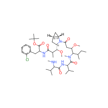 CCC(C)C(C(CC(=O)N1[C@H](C(OC)C(C)C(=O)NC(Cc2ccccc2Cl)C(=O)OC(C)(C)C)C[C@@H]2C[C@@H]21)OC)N(C)C(=O)C(NC(=O)C(NC)C(C)C)C(C)C